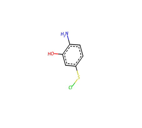 Nc1ccc(SCl)cc1O